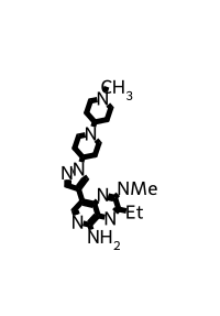 CCc1nc2c(N)ncc(-c3cnn(C4CCN(C5CCN(C)CC5)CC4)c3)c2nc1NC